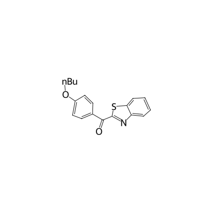 CCCCOc1ccc(C(=O)c2nc3ccccc3s2)cc1